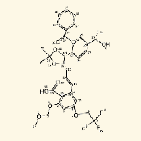 COCOc1cc(OCC(F)(F)F)cc(/C=C/C[C@@H]2OC(C)(C)O[C@@H]2C(/C=C\[C@@H](C)[C@H](C)O)OC(=O)c2ccccc2)c1C(=O)O